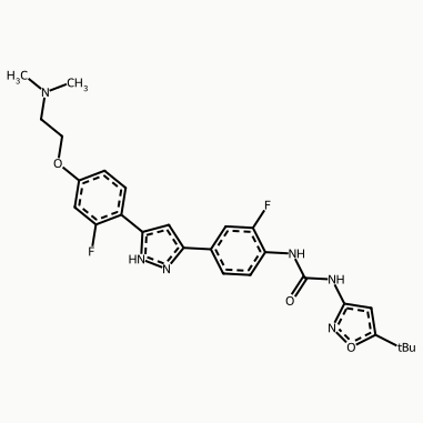 CN(C)CCOc1ccc(-c2cc(-c3ccc(NC(=O)Nc4cc(C(C)(C)C)on4)c(F)c3)n[nH]2)c(F)c1